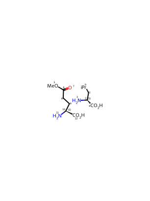 CC(C)C[C@H](N)C(=O)O.COC(=O)CC[C@H](N)C(=O)O